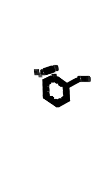 C=O.O=Cc1ccccn1